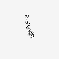 O=C(Nc1cnccn1)N1CCC(Oc2cccc(OCCc3ccccn3)c2)CC1